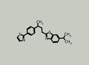 CC(C)c1ccc2nc(CCC(C)c3ccc(-c4nccs4)cc3)sc2c1